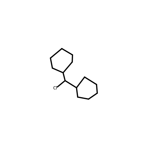 ClC(C1CCCCC1)C1CCCCC1